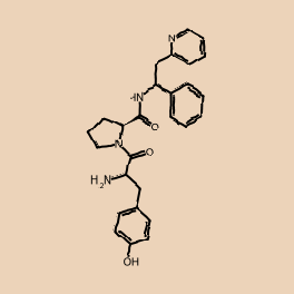 NC(Cc1ccc(O)cc1)C(=O)N1CCC[C@H]1C(=O)NC(Cc1ccccn1)c1ccccc1